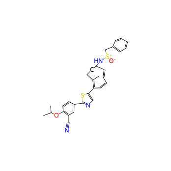 C\C1=C(c2cnc(-c3ccc(OC(C)C)c(C#N)c3)s2)/C=C\C=C\C(N[S+]([O-])Cc2ccccc2)CC1